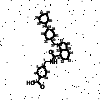 O=C(O)c1ccc(CNC(=O)c2cccc3ccn(Cc4ccc(-c5ccccc5)cc4)c23)cc1